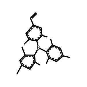 C=Cc1cc(C)c(B(c2c(C)cc(C)cc2C)c2c(C)cc(C)cc2C)c(C)c1